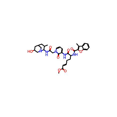 COC(=O)/C=C/CCC(NC(=O)c1oc2ccccc2c1C)C(=O)Nc1cccn(CC(=O)NC2C(C)CC3CC(O)CN2C3)c1=O